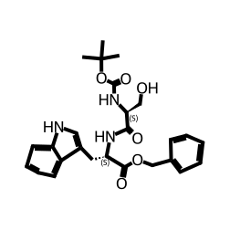 CC(C)(C)OC(=O)N[C@@H](CO)C(=O)N[C@@H](Cc1c[nH]c2ccccc12)C(=O)OCc1ccccc1